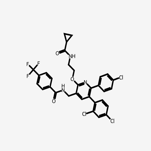 O=C(NCc1cc(-c2ccc(Cl)cc2Cl)c(-c2ccc(Cl)cc2)nc1OCCNC(=O)C1CC1)c1ccc(C(F)(F)F)cc1